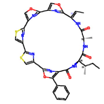 C/C=C1\NC(=O)[C@H](C)NC(=O)[C@@H]([C@@H](C)CC)NC(=O)c2nc(oc2-c2ccccc2)-c2csc(n2)-c2csc(n2)-c2coc(n2)-c2coc1n2